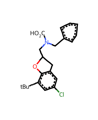 CC(C)(C)c1cc(Cl)cc2c1OC(CN(Cc1ccccc1)C(=O)O)C2